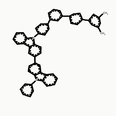 Cc1cc(C)cc(-c2ccc(-c3cccc(-c4ccc(-n5c6ccccc6c6cc(-c7ccc8c(c7)c7ccccc7n8-c7ccccc7)ccc65)cc4)c3)cc2)c1